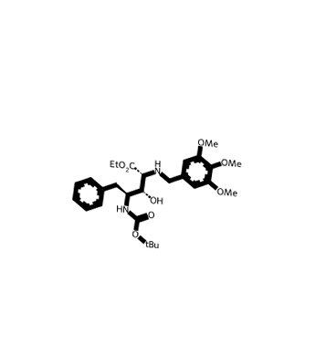 CCOC(=O)[C@H](NCc1cc(OC)c(OC)c(OC)c1)[C@H](O)[C@H](Cc1ccccc1)NC(=O)OC(C)(C)C